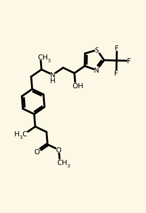 COC(=O)CC(C)c1ccc(CC(C)NCC(O)c2csc(C(F)(F)F)n2)cc1